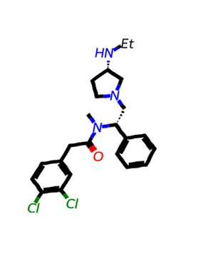 CCN[C@H]1CCN(C[C@H](c2ccccc2)N(C)C(=O)Cc2ccc(Cl)c(Cl)c2)C1